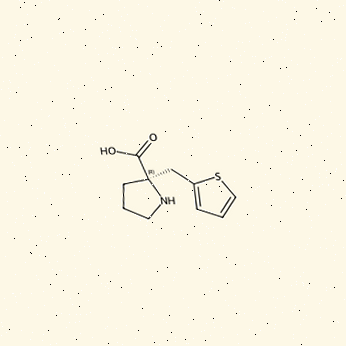 O=C(O)[C@]1(Cc2cccs2)CCCN1